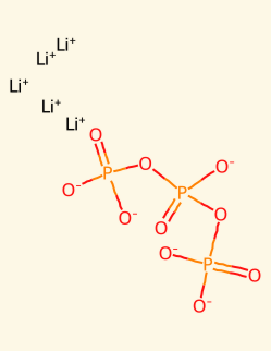 O=P([O-])([O-])OP(=O)([O-])OP(=O)([O-])[O-].[Li+].[Li+].[Li+].[Li+].[Li+]